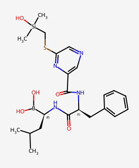 CC(C)C[C@H](NC(=O)[C@H](Cc1ccccc1)NC(=O)c1cncc(SC[Si](C)(C)O)n1)B(O)O